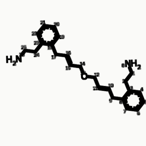 NCCc1ccccc1CC=CCOCC=CCc1ccccc1CCN